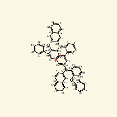 c1cc(-c2ccccc2N(c2ccc3ccccc3c2)c2cccc3c2oc2ccccc23)cc(N(c2ccc3ccccc3c2)c2cccc3c2oc2ccccc23)c1